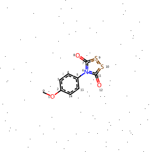 COc1ccc(-n2c(=O)ssc2=O)cc1